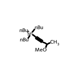 CCC[CH2][Sn]([C]#CC(C)OC)([CH2]CCC)[CH2]CCC